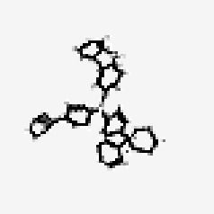 c1ccc(C2(c3ccc(N(c4ccc(C5CC6CCC5C6)cc4)c4ccc5oc6ccccc6c5c4)cc3)CCCCC2)cc1